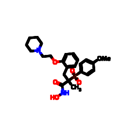 COc1ccc(S(=O)(=O)C(C)(Cc2ccccc2OCCN2CCCCC2)C(=O)NO)cc1